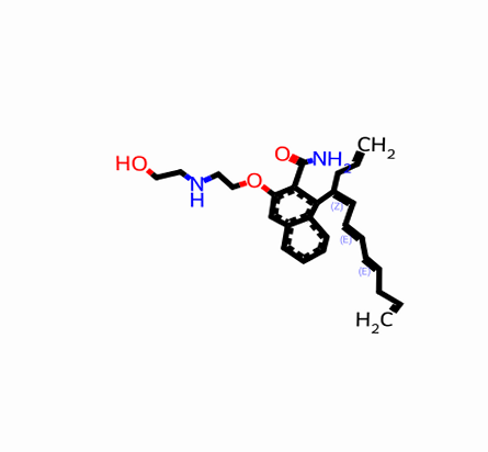 C=CC/C=C/C=C/C=C(/CC=C)c1c(C(N)=O)c(OCCNCCO)cc2ccccc12